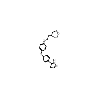 C1=NNC(c2ccc(Oc3ccc(OCCC4CCOCC4)cc3)cc2)C1